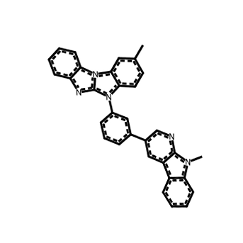 Cc1ccc2c(c1)n1c3ccccc3nc1n2-c1cccc(-c2cnc3c(c2)c2ccccc2n3C)c1